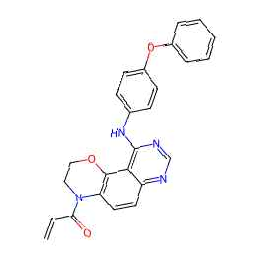 C=CC(=O)N1CCOc2c1ccc1ncnc(Nc3ccc(Oc4ccccc4)cc3)c21